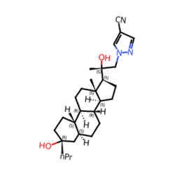 CCC[C@@]1(O)CC[C@H]2[C@@H](CC[C@@H]3[C@@H]2CC[C@@]2(C)[C@H]3CC[C@@H]2[C@](C)(O)Cn2cc(C#N)cn2)C1